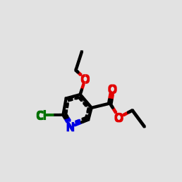 CCOC(=O)c1cnc(Cl)cc1OCC